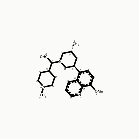 COc1ccc([C@@H]2C[C@@H](C)CN(C(C=O)C3CCN(C)CC3)C2)c2cccnc12